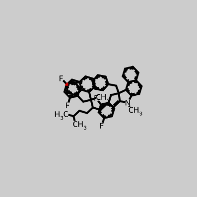 CC(C)CCC(/C=C/C=C1/N(C)c2ccc3ccccc3c2C1(Cc1ccccc1)Cc1ccc(F)cc1F)C(C)(Cc1ccc(F)cc1F)c1cccc2ccccc12